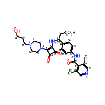 O=C(O)C[C@H](Nc1c(N2CCN(CCCO)CC2)c(=O)c1=O)c1ccc(NC(=O)c2c(Cl)cncc2Cl)cc1